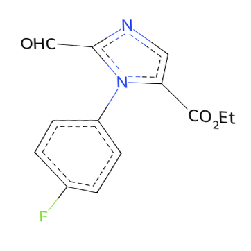 CCOC(=O)c1cnc(C=O)n1-c1ccc(F)cc1